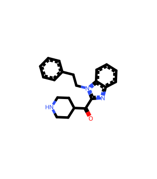 O=C(c1nc2ccccc2n1CCc1ccccc1)C1CCNCC1